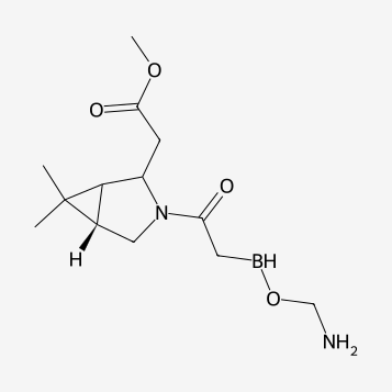 COC(=O)CC1C2[C@H](CN1C(=O)CBOCN)C2(C)C